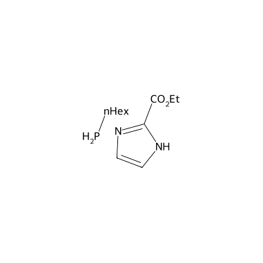 CCCCCCP.CCOC(=O)c1ncc[nH]1